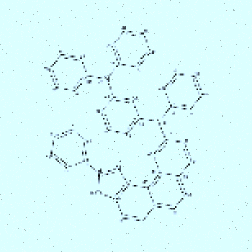 c1ccc(-c2nc3c(ccc4ccc5ccc(N(c6ccccc6)c6cccc(N(c7ccccc7)c7ccccc7)c6)cc5c43)o2)cc1